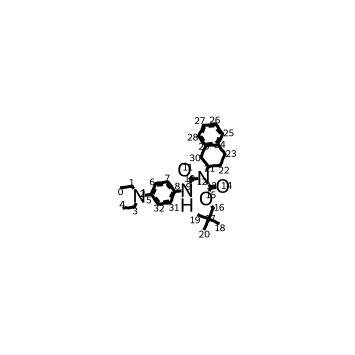 CCN(CC)c1ccc(NC(=O)N(C(=O)OCC(C)(C)C)C2CCc3ccccc3C2)cc1